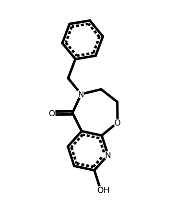 O=C1c2ccc(O)nc2OCCN1Cc1ccccc1